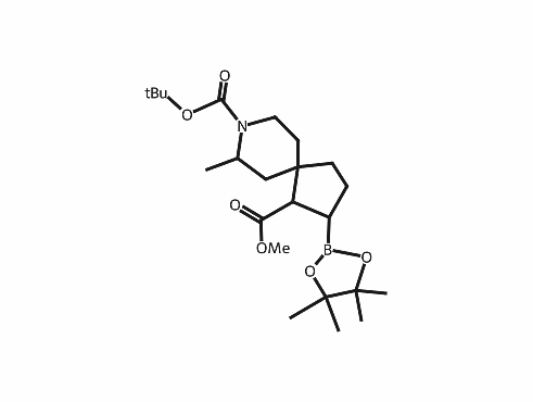 COC(=O)C1C(B2OC(C)(C)C(C)(C)O2)CCC12CCN(C(=O)OC(C)(C)C)C(C)C2